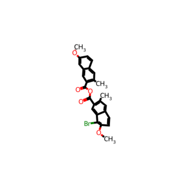 COc1ccc2cc(C)c(C(=O)OC(=O)c3cc4c(Br)c(OC)ccc4cc3C)cc2c1